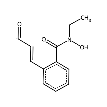 CCN(O)C(=O)c1ccccc1/C=C/[C]=O